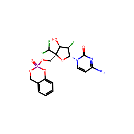 Nc1ccn([C@@H]2O[C@@](COP3(=O)OCc4ccccc4O3)(C(F)F)[C@@H](O)[C@H]2F)c(=O)n1